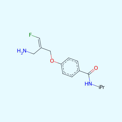 CC(C)NC(=O)c1ccc(OC/C(=C/F)CN)cc1